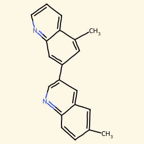 Cc1ccc2ncc(-c3cc(C)c4cccnc4c3)cc2c1